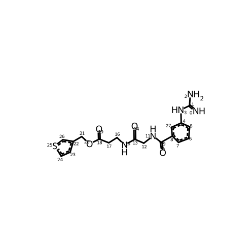 N=C(N)Nc1cccc(C(=O)NCC(=O)NCCC(=O)OCc2ccsc2)c1